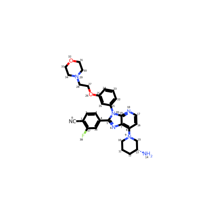 N#Cc1ccc(-c2nc3c(N4CCC[C@@H](N)C4)ccnc3n2-c2cccc(OCCN3CCOCC3)c2)cc1F